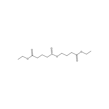 CCOC(=O)CCCOS(=O)CCCC(=O)OCC